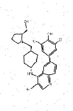 CC(=O)c1cnc2ccc(-c3cc(Cl)c(O)c(Cl)c3)cc2c1N[C@H]1CC[C@H](CN2CCC[C@H]2CO)CC1